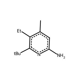 CCc1c(C)cc(N)nc1C(C)(C)C